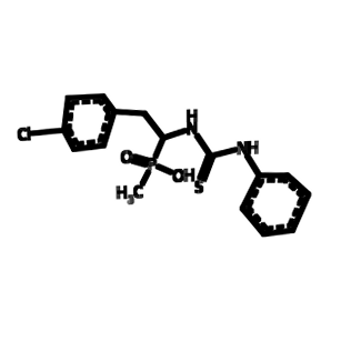 CP(=O)(O)C(Cc1ccc(Cl)cc1)NC(=S)Nc1ccccc1